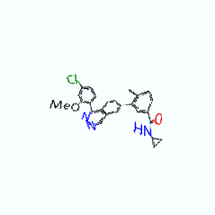 COc1cc(Cl)ccc1-c1nncc2cc(-c3cc(C(=O)NC4CC4)ccc3C)ccc12